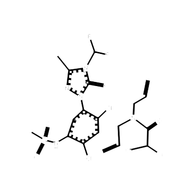 C=CCN(CC=C)C(=O)C(Cl)Cl.Cc1nn(-c2cc(NS(C)(=O)=O)c(Cl)cc2Cl)c(=O)n1C(F)F